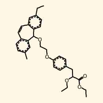 CCOC(=O)C(Cc1ccc(OCCOC2c3ccc(CC)cc3C=Cc3ccc(C)cc32)cc1)OCC